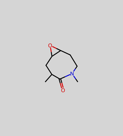 CC1CC2OC2CCN(C)C1=O